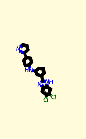 Clc1cc2nc(-c3cccc(Nc4ccc(-c5cccnn5)cc4)c3)[nH]c2cc1Cl